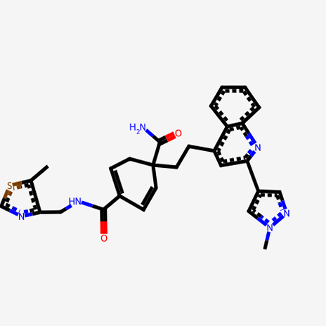 Cc1scnc1CNC(=O)C1=CCC(CCc2cc(-c3cnn(C)c3)nc3ccccc23)(C(N)=O)C=C1